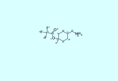 CC1(OC(=O)C(F)(F)F)CCC(CN)CC1